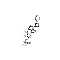 O=P(O)(O)OC[C@H]1O[C@@H](n2cnc3c(-c4cccc(N5CCOCC5)c4)ncnc32)[C@H](O)[C@@H]1O